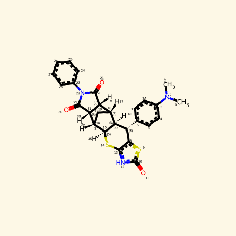 CN(C)c1ccc([C@@H]2c3sc(=O)[nH]c3S[C@H]3[C@H]4C[C@H]([C@H]5C(=O)N(c6ccccc6)C(=O)[C@@H]45)[C@@H]23)cc1